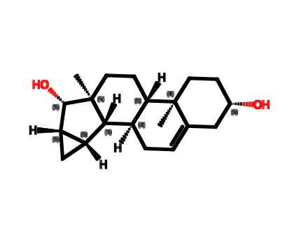 C[C@]12CC[C@H]3[C@@H](CC=C4C[C@@H](O)CC[C@@]43C)[C@@H]1[C@@H]1C[C@@H]1[C@@H]2O